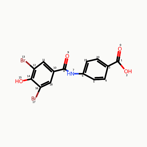 O=C(O)c1ccc(NC(=O)c2cc(Br)c(O)c(Br)c2)cc1